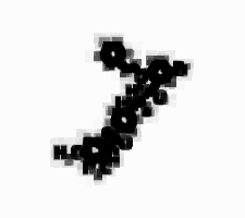 Cc1ccc(NS(=O)(=O)c2ccc(NC(=S)NC(=O)c3cc(Br)ccc3OCCc3ccccc3)cc2)c(C)c1